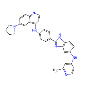 Cc1cc(Nc2ccc3[nH]c(-c4ccc(Nc5ccnc6ccc(N7CCCC7)cc56)cc4)nc3c2)ccn1